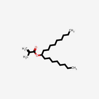 C=C(C)C(=O)OC(CCCCCCCC)CCCCCCCCC